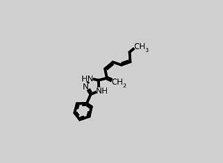 C=C(/C=C\C=C/CC)C1NN=C(c2ccccc2)N1